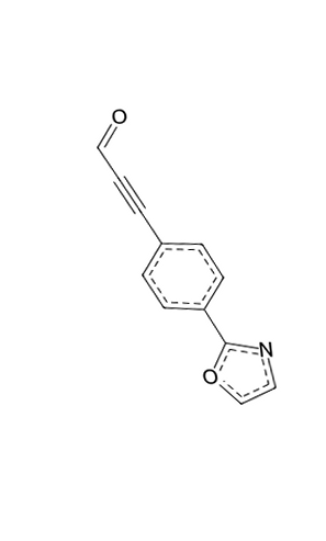 O=CC#Cc1ccc(-c2ncco2)cc1